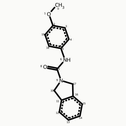 COc1ccc(NC(=O)N2Cc3ccccc3C2)cc1